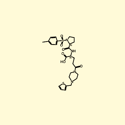 Cc1ccc(S(=O)(=O)N2CCC[C@H]2C(=O)N[C@@H](CCC(=O)N2CCN(Cc3cccs3)CC2)C(=O)O)cc1